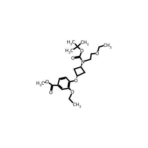 CCOCCN(C(=O)OC(C)(C)C)[C@H]1C[C@H](Oc2ccc(C(=O)OC)cc2OCC)C1